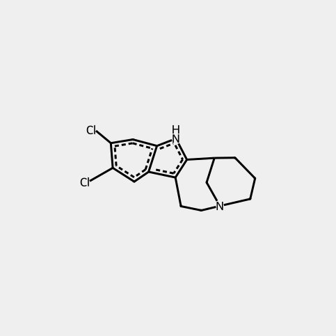 Clc1cc2[nH]c3c(c2cc1Cl)CCN1CCCC3C1